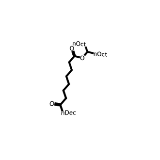 CCCCCCCCCCC(=O)CCCCCCC(=O)OC(CCCCCCCC)CCCCCCCC